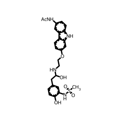 CC(=O)Nc1ccc2[nH]c3cc(OCCNC(O)Cc4ccc(O)c(NS(C)(=O)=O)c4)ccc3c2c1